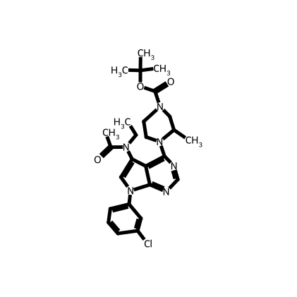 CCN(C(C)=O)c1cn(-c2cccc(Cl)c2)c2ncnc(N3CCN(C(=O)OC(C)(C)C)CC3C)c12